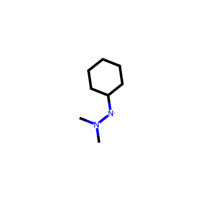 CN(C)[N]C1CCCCC1